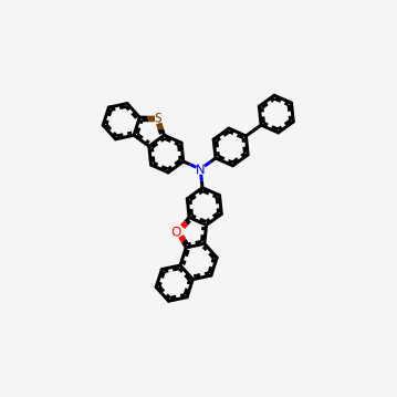 c1ccc(-c2ccc(N(c3ccc4c(c3)oc3c5ccccc5ccc43)c3ccc4c(c3)sc3ccccc34)cc2)cc1